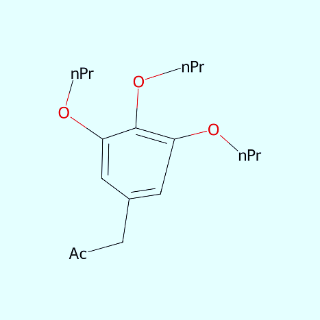 CCCOc1cc(CC(C)=O)cc(OCCC)c1OCCC